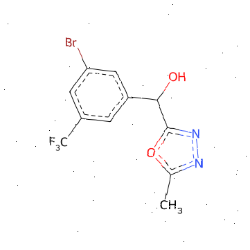 Cc1nnc(C(O)c2cc(Br)cc(C(F)(F)F)c2)o1